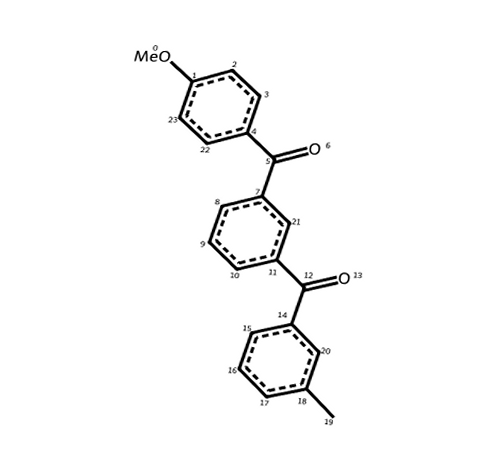 COc1ccc(C(=O)c2cccc(C(=O)c3cccc(C)c3)c2)cc1